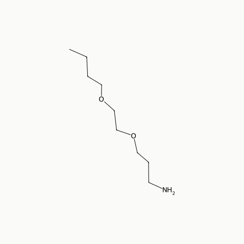 CCCCOCCOCCCN